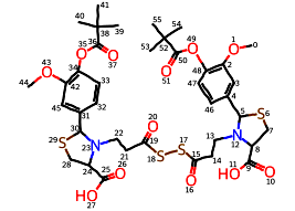 COc1cc(C2SCC(C(=O)O)N2CCC(=O)SSC(=O)CCN2C(C(=O)O)CSC2c2ccc(OC(=O)C(C)(C)C)c(OC)c2)ccc1OC(=O)C(C)(C)C